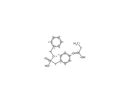 CCC(=O)O.O=P(O)(Cc1ccccc1)OCc1ccccc1